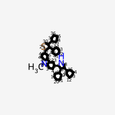 Cn1c2ccc(-c3[nH]cc(-c4ccccc4)c3-c3ccccc3)cc2c2cc(-c3scc(-c4ccccc4)c3-c3ccccc3)ccc21